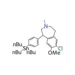 CCC[CH2][Sn]([CH2]CCC)([CH2]CCC)[c]1ccc(C2CN(C)CCc3cc(Cl)c(OC)cc32)cc1